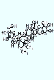 C[C@H]1[C@H](C)CC[C@]2(C(=O)O[C@@H]3O[C@H](CO)[C@@H](O)[C@H](O)[C@H]3O)CC[C@]3(C)C(=CC[C@@H]4[C@@]5(C)C[C@@H](O)[C@H](O[C@@H]6OC[C@H](O)[C@H](O)[C@H]6O)[C@@](C)(CO)[C@@H]5CC[C@]43C)[C@H]12